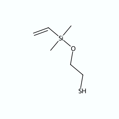 C=C[Si](C)(C)OCCS